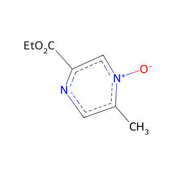 CCOC(=O)c1c[n+]([O-])c(C)cn1